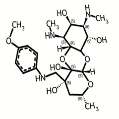 CN[C@@H]1[C@H](O)[C@H](NC)[C@H]2O[C@]3(O)[C@H](OC2[C@H]1O)O[C@H](C)C[C@@]3(O)CNc1ccc(OC)cc1